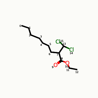 CCCCCCCC(C(=O)OCC)C(Cl)Cl